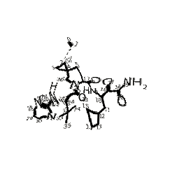 CC[C@H]1CC12CC(C(=O)NC(CC1CCC1)C(=O)C(N)=O)N(C(=O)[C@@H](Nc1ncccn1)C(C)(C)C)C2